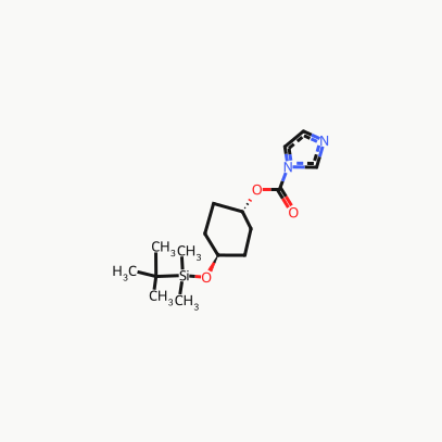 CC(C)(C)[Si](C)(C)O[C@H]1CC[C@H](OC(=O)n2ccnc2)CC1